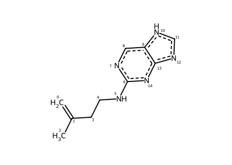 C=C(C)CCNc1ncc2[nH]cnc2n1